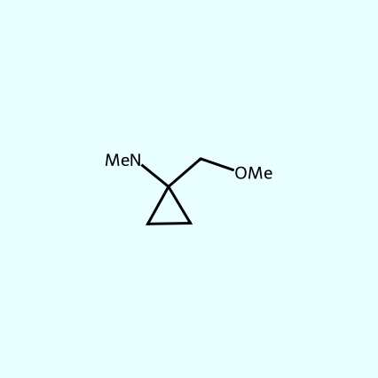 CNC1(COC)CC1